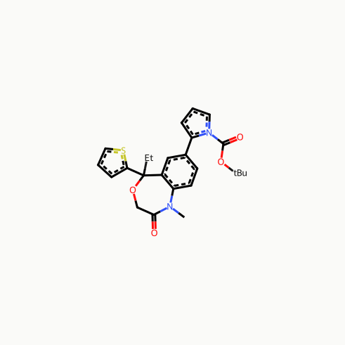 CCC1(c2cccs2)OCC(=O)N(C)c2ccc(-c3cccn3C(=O)OC(C)(C)C)cc21